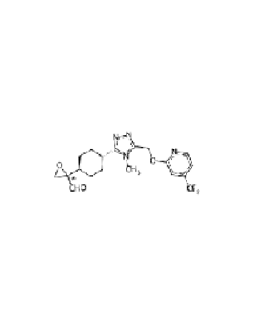 Cn1c(COc2cc(C(F)(F)F)ccn2)nnc1[C@H]1CC[C@H]([C@]2(C=O)CO2)CC1